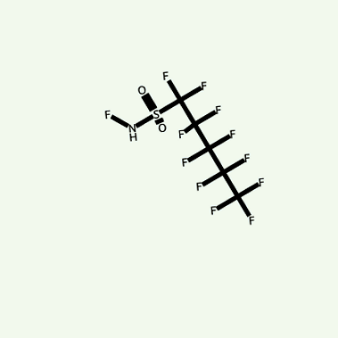 O=S(=O)(NF)C(F)(F)C(F)(F)C(F)(F)C(F)(F)C(F)(F)F